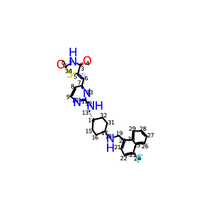 O=C1NC(=O)/C(=C/c2ccnc(NC[C@H]3CC[C@H](NCc4ccc(F)c5ccccc45)CC3)n2)S1